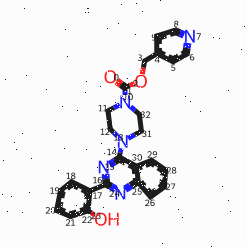 O=C(OCc1ccncc1)N1CCN(c2nc(-c3ccccc3O)nc3ccccc23)CC1